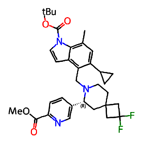 COC(=O)c1ccc([C@H]2CC3(CCN2Cc2c(C4CC4)cc(C)c4c2ccn4C(=O)OC(C)(C)C)CC(F)(F)C3)cn1